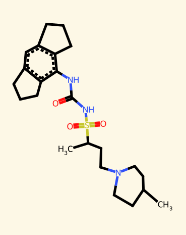 CC1CCN(CCC(C)S(=O)(=O)NC(=O)Nc2c3c(cc4c2CCC4)CCC3)CC1